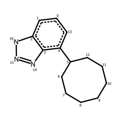 c1cc2c(c(C3CCCCCCC3)c1)N=N[N]2